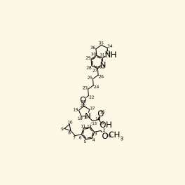 COCc1ccc(CC2CC2)cc1[C@@H](C(=O)O)N1CC[C@@H](OCCCCCc2ccc3c(n2)NCCC3)C1